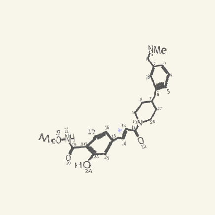 CNCc1cccc(C2CCN(C(=O)/C=C/c3ccc(C(=O)NOC)c(O)c3)CC2)c1